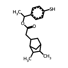 CC(OC(=O)CC1CC2CC1C(C)C2C)c1ccc(S)cc1